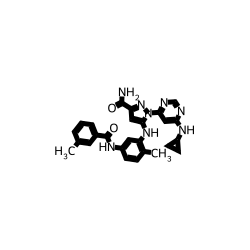 Cc1cccc(C(=O)Nc2ccc(C)c(Nc3cc(C(N)=O)nn3-c3cc(NC4CC4)ncn3)c2)c1